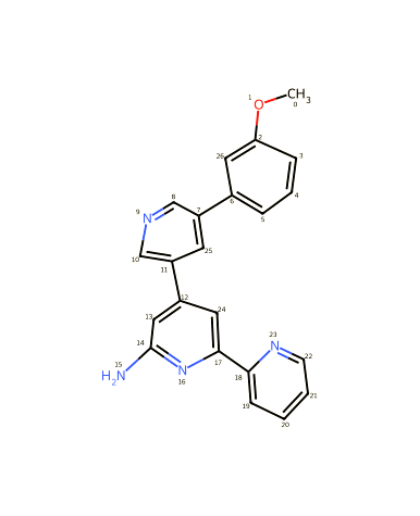 COc1cccc(-c2cncc(-c3cc(N)nc(-c4ccccn4)c3)c2)c1